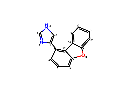 [c]1nc(-c2cccc3oc4ccccc4c23)c[nH]1